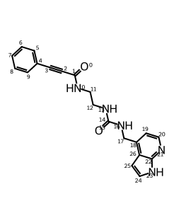 O=C(C#Cc1ccccc1)NCCNC(=O)NCc1ccnc2[nH]ccc12